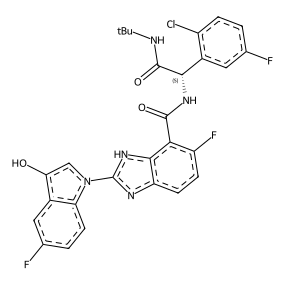 CC(C)(C)NC(=O)[C@@H](NC(=O)c1c(F)ccc2nc(-n3cc(O)c4cc(F)ccc43)[nH]c12)c1cc(F)ccc1Cl